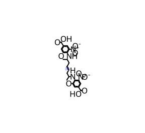 O=C(O)c1cc2c(c([N+](=O)[O-])c1)NC(C/C=C/CC1COc3cc(C(=O)O)cc([N+](=O)[O-])c3N1)CO2